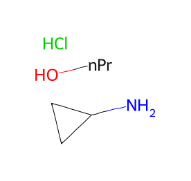 CCCO.Cl.NC1CC1